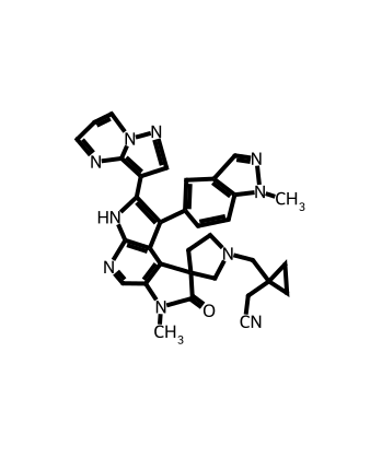 CN1C(=O)C2(CCN(CC3(CC#N)CC3)C2)c2c1cnc1[nH]c(-c3cnn4cccnc34)c(-c3ccc4c(cnn4C)c3)c21